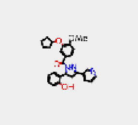 COc1ccc(C(=O)N2N=C(c3cccnc3)CC2c2ccccc2O)cc1OC1CCCC1